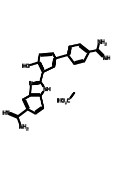 CC(=O)O.N=C(N)c1ccc(-c2ccc(O)c(-c3nc4cc(C(=N)N)ccc4[nH]3)c2)cc1